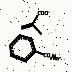 C=C(C)C(=O)[O-].O=C(O)c1ccccc1.[Na+]